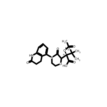 CC(=O)O[C@@](C(=O)O)(C1OCCN(c2cccc3c2CCC(=O)N3)C1=O)C(C)(C)C